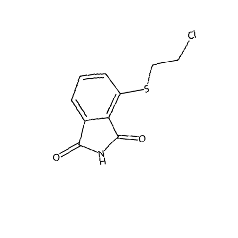 O=C1NC(=O)c2c(SCCCl)cccc21